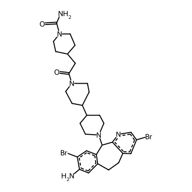 NC(=O)N1CCC(CC(=O)N2CCC(C3CCN(C4c5cc(Br)c(N)cc5CCc5cc(Br)cnc54)CC3)CC2)CC1